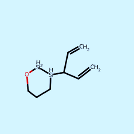 C=CC(C=C)[SiH]1CCCO[SiH2]1